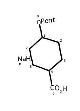 CCCCCC1CCC(C(=O)O)CC1.[NaH]